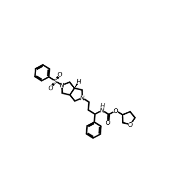 O=C(NC(CCN1CC2CN(S(=O)(=O)c3ccccc3)C[C@@H]2C1)c1ccccc1)OC1CCOC1